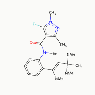 CN/C(=C\C(C)(NC)NC)c1ccccc1N(C(C)=O)C(=O)c1c(C)nn(C)c1F